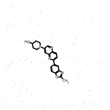 Cc1nc2cc(-c3ccc4ncc(N5CCC(O)CC5)cc4n3)ccc2o1